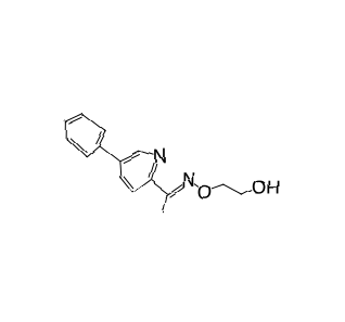 CC(=NOCCO)c1ccc(-c2ccccc2)cn1